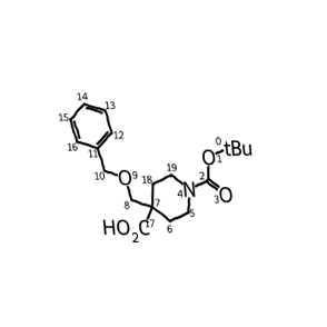 CC(C)(C)OC(=O)N1CCC(COCc2ccccc2)(C(=O)O)CC1